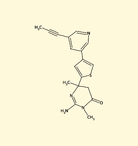 CC#Cc1cncc(-c2csc(C3(C)CC(=O)N(C)C(N)=N3)c2)c1